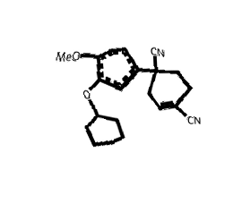 COc1ccc(C2(C#N)CC=C(C#N)CC2)cc1OC1CCCC1